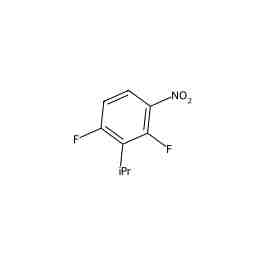 CC(C)c1c(F)ccc([N+](=O)[O-])c1F